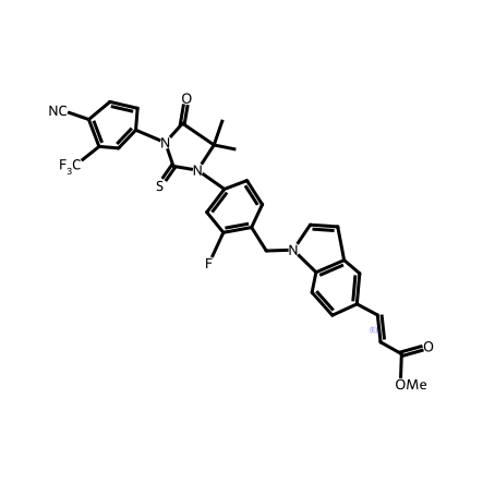 COC(=O)/C=C/c1ccc2c(ccn2Cc2ccc(N3C(=S)N(c4ccc(C#N)c(C(F)(F)F)c4)C(=O)C3(C)C)cc2F)c1